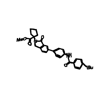 COC(=O)C1(N2Cc3ccc(-c4ccc(NC(=O)c5ccc(C(C)(C)C)cc5)cc4)cc3C2=O)CCCC1